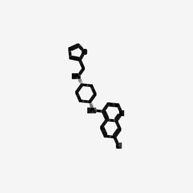 Clc1ccc2c(N[C@H]3CC[C@@H](NCc4ccco4)CC3)ccnc2c1